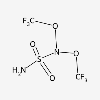 NS(=O)(=O)N(OC(F)(F)F)OC(F)(F)F